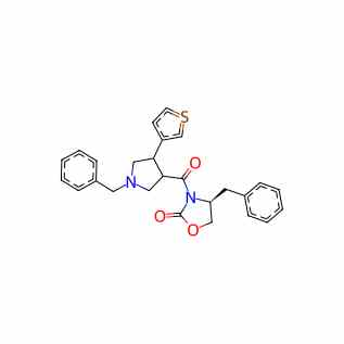 O=C1OC[C@H](Cc2ccccc2)N1C(=O)C1CN(Cc2ccccc2)CC1c1ccsc1